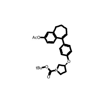 CC(=O)Oc1ccc2c(c1)CCCC=C2c1ccc(O[C@H]2CCN(C(=O)OC(C)(C)C)C2)cc1